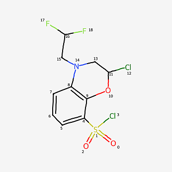 O=S(=O)(Cl)c1cccc2c1OC(Cl)CN2CC(F)F